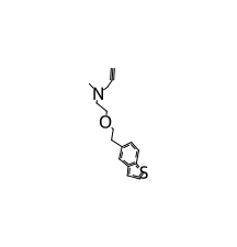 C#CCN(C)CCOCCc1ccc2sccc2c1